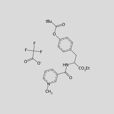 CCOC(=O)C(Cc1ccc(OC(=O)C(C)(C)C)cc1)NC(=O)c1ccc[n+](C)c1.O=C([O-])C(F)(F)F